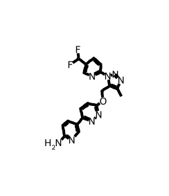 Cc1nnn(-c2ccc(C(F)F)cn2)c1COc1ccc(-c2ccc(N)nc2)nn1